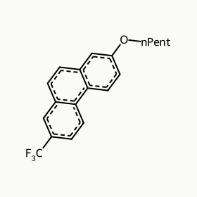 CCCCCOc1ccc2c(ccc3cc(C(F)(F)F)ccc32)c1